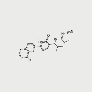 CS/C(=N\C#N)NC(c1ccc(-c2ccc3cccc(F)c3c2)[nH]c1=O)C(C)C